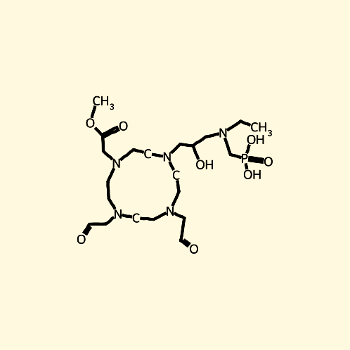 CCN(CC(O)CN1CCN(CC=O)CCN(CC=O)CCN(CC(=O)OC)CC1)CP(=O)(O)O